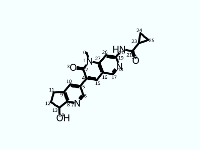 Cn1c(=O)c(-c2cnc3c(c2)CCC3O)cc2cnc(NC(=O)C3CC3)cc21